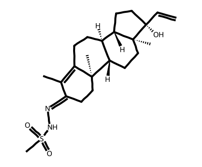 C=C[C@]1(O)CC[C@H]2[C@@H]3CCC4=C(C)/C(=N/NS(C)(=O)=O)CC[C@]4(C)[C@H]3CC[C@@]21C